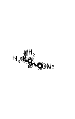 COc1ccc(C=CC(=O)c2cccc(CN(C)CCN)c2)cc1